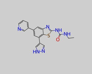 CCNC(=O)Nc1nc2cc(-c3cccnc3)cc(-c3cn[nH]c3)c2s1